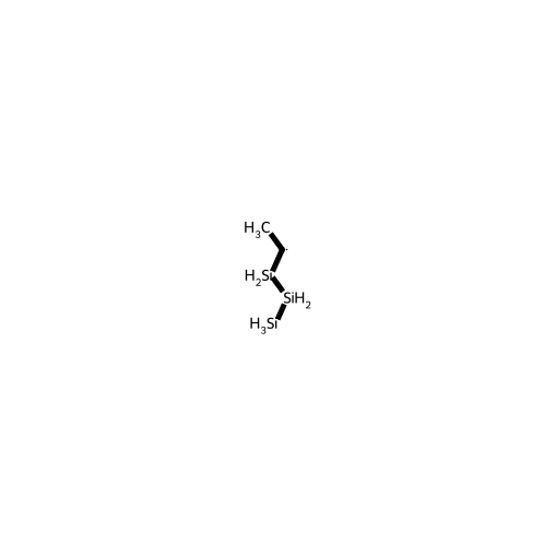 C[CH][SiH2][SiH2][SiH3]